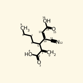 C=C(C(=O)O)C(CCCC)C(C#N)=CC(=O)O